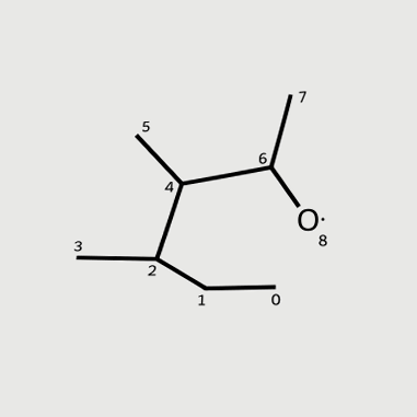 CCC(C)C(C)C(C)[O]